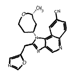 C[C@@H]1C[C@H](n2c(Cc3cnco3)nc3cnc4ccc(C#N)cc4c32)CCO1